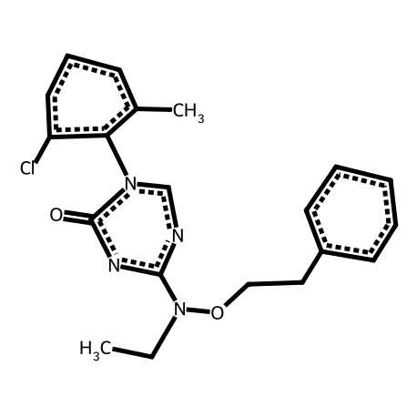 CCN(OCCc1ccccc1)c1ncn(-c2c(C)cccc2Cl)c(=O)n1